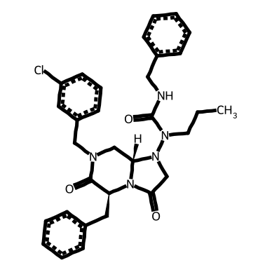 CCCN(C(=O)NCc1ccccc1)N1CC(=O)N2[C@@H](Cc3ccccc3)C(=O)N(Cc3cccc(Cl)c3)C[C@@H]21